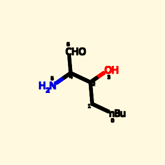 CCCCCC(O)C(N)C=O